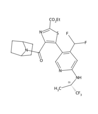 CCOC(=O)c1nc(C(=O)N2C3CCC2CC3)c(-c2cnc(N[C@@H](C)C(F)(F)F)cc2C(F)F)s1